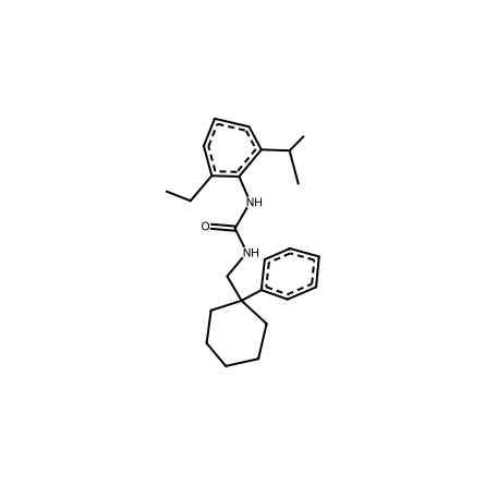 CCc1cccc(C(C)C)c1NC(=O)NCC1(c2ccccc2)CCCCC1